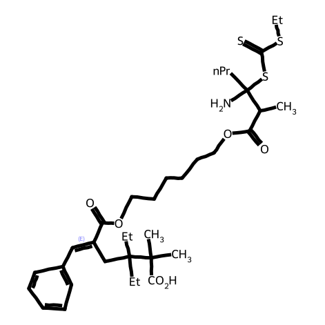 CCCC(N)(SC(=S)SCC)C(C)C(=O)OCCCCCCOC(=O)/C(=C/c1ccccc1)CC(CC)(CC)C(C)(C)C(=O)O